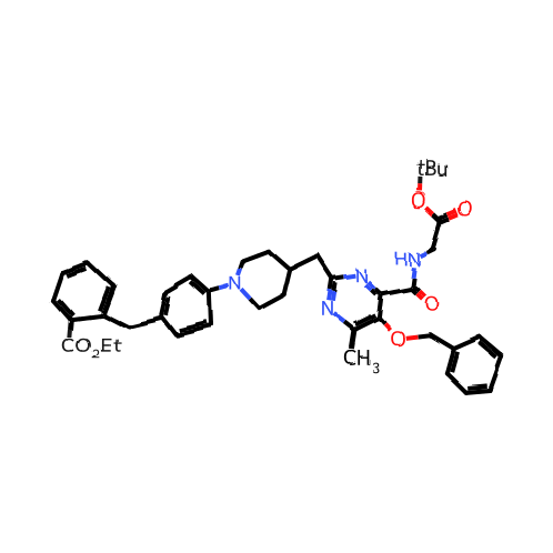 CCOC(=O)c1ccccc1Cc1ccc(N2CCC(Cc3nc(C)c(OCc4ccccc4)c(C(=O)NCC(=O)OC(C)(C)C)n3)CC2)cc1